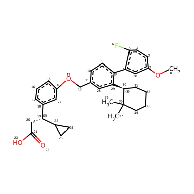 COc1ccc(F)c(-c2ccc(COc3cccc([C@@H](CC(=O)O)C4CC4)c3)cc2[C@H]2CCCCC2(C)C)c1